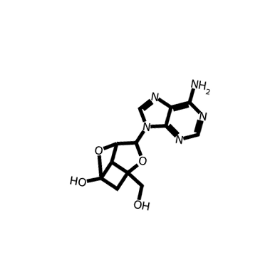 Nc1ncnc2c1ncn2C1OC2(CO)CC3(O)OC1C32